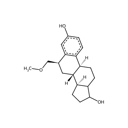 COC[C@@H]1C[C@@H]2[C@H](CCC3C(O)CC[C@H]32)c2ccc(O)cc21